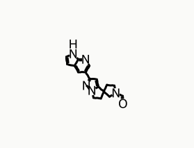 O=CN1CCC2(CCn3nc(-c4cnc5[nH]ccc5c4)cc32)C1